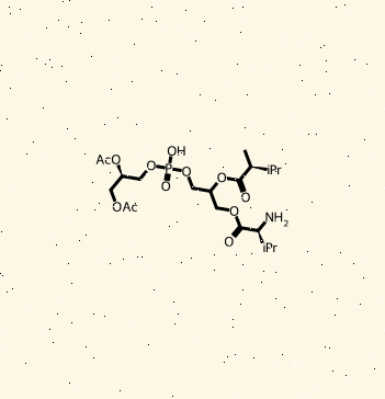 CC(=O)OC[C@H](COP(=O)(O)OCC(COC(=O)[C@@H](N)C(C)C)OC(=O)[C@@H](C)C(C)C)OC(C)=O